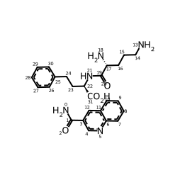 NC(=O)c1cnc2ccccc2c1.NCCC[C@@H](N)C(=O)N[C@H](CCc1ccccc1)C(=O)O